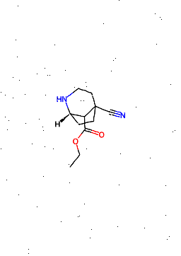 CCOC(=O)C1[C@@H]2CCC1(C#N)CCN2